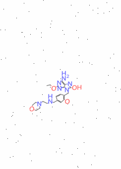 CCOc1nc(N)c2nc(O)n(Cc3ccc(CNCCN4CCOCC4)cc3OC)c2n1